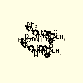 CN(C)C(=O)c1cc2cnc(Nc3ccc(N4CC5CC5(N)C4)cn3)nc2n1C1CCCC1.CN(C)C(=O)c1cc2cnc(Nc3ccc(N4CC5CC5(NC(=O)OC(C)(C)C)C4)cn3)nc2n1C1CCCC1